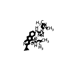 Cc1cc(-n2cnnc2NC2CCc3cc4cnc(C5CC5)cc4c(S(=O)(=O)NCC(C)C)c3C2)n(C)n1